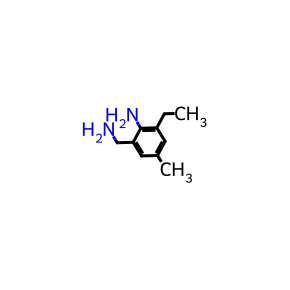 CCc1cc(C)cc(CN)c1N